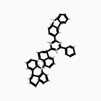 c1ccc(-c2nc(-c3ccc4sc5ccccc5c4c3)nc(-c3cccc4c(N5c6ccccc6-c6cccc7cccc5c67)cccc34)n2)cc1